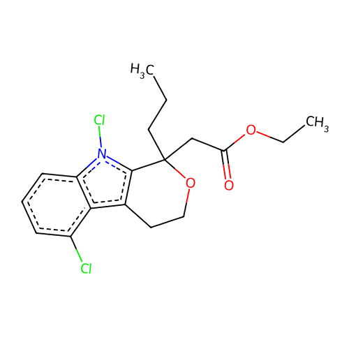 CCCC1(CC(=O)OCC)OCCc2c1n(Cl)c1cccc(Cl)c21